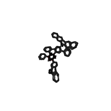 c1ccc(-c2nc(-c3ccc4c(c3)oc3ccccc34)nc(-c3cc(-c4ccccc4)c(-n4c5cc6ccccc6cc5c5cc6ccccc6cc54)cc3-c3ccccc3-c3ccccc3)n2)cc1